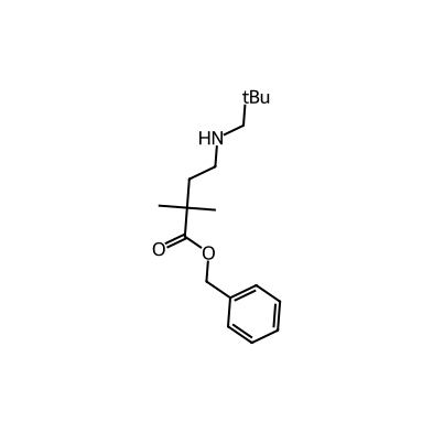 CC(C)(C)CNCCC(C)(C)C(=O)OCc1ccccc1